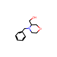 OCC1COCCN1Cc1ccccc1